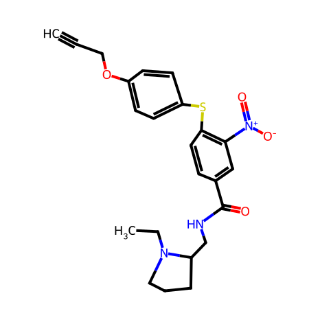 C#CCOc1ccc(Sc2ccc(C(=O)NCC3CCCN3CC)cc2[N+](=O)[O-])cc1